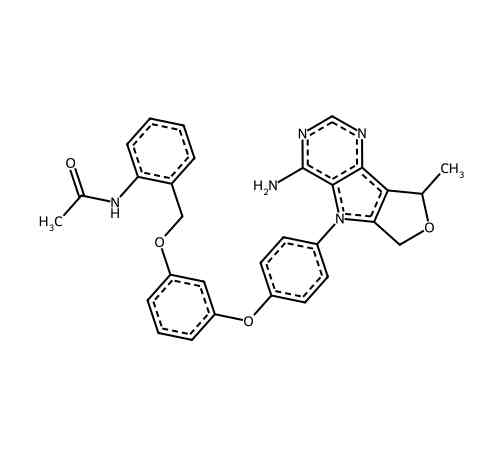 CC(=O)Nc1ccccc1COc1cccc(Oc2ccc(-n3c4c(c5ncnc(N)c53)C(C)OC4)cc2)c1